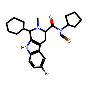 CN1C(C(=O)N(C=S)C2CCCC2)Cc2c([nH]c3ccc(Br)cc23)C1C1CCCCC1